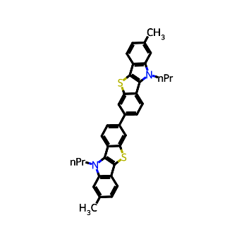 CCCn1c2cc(C)ccc2c2sc3cc(-c4ccc5c(c4)sc4c6ccc(C)cc6n(CCC)c54)ccc3c21